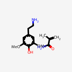 C=C(C)C(N)=O.COc1cc(CCN)cc(OC)c1O